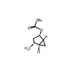 C[C@H]1C[C@@H](OC(=O)C(C)(C)C)[C@@H]2C[C@@H]21